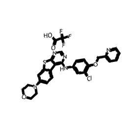 Clc1cc(Nc2ncnc3sc4cc(N5CCOCC5)ccc4c23)ccc1OCc1ccccn1.O=C(O)C(F)(F)F